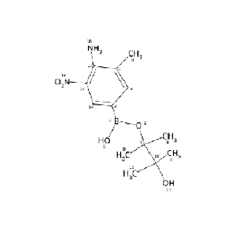 Cc1cc(B(O)OC(C)(C)C(C)(C)O)cc([N+](=O)[O-])c1N